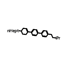 CCCCCCCC1CC=C(c2ccc(-c3ccc(CCC(C)C)cc3)cc2)CC1